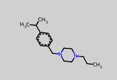 CCCN1CCN(Cc2ccc(C(C)C)cc2)CC1